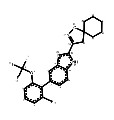 Fc1cccc(OC(F)(F)F)c1-c1ccc2[nH]c(C3=NOC4(CCCCC4)C3)nc2c1